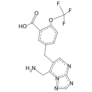 NCc1c(Cc2ccc(OC(F)(F)F)c(C(=O)O)c2)cnc2ncnn12